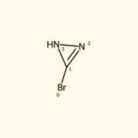 BrC1=NN1